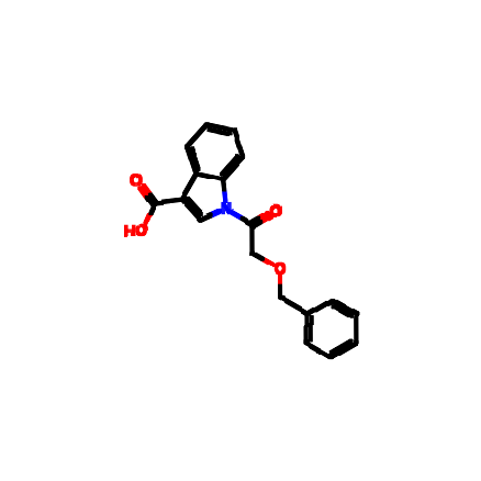 O=C(O)c1cn(C(=O)COCc2ccccc2)c2ccccc12